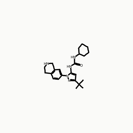 CC(C)(C)c1cc(NC(=O)NC2CCCCC2)n(-c2ccc3c(c2)CNCC3)n1